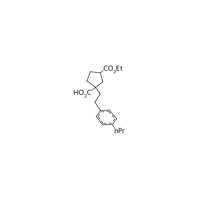 CCCc1ccc(CCC2(C(=O)O)CCC(C(=O)OCC)C2)cc1